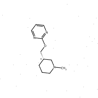 CN1CCC[C@H](COc2ncccn2)C1